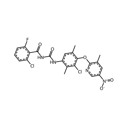 Cc1cc([N+](=O)[O-])cnc1Oc1c(C)cc(NC(=O)NC(=O)c2c(F)cccc2Cl)c(C)c1Cl